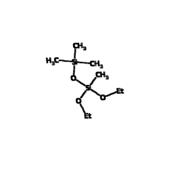 CCO[Si](C)(OCC)O[Si](C)(C)C